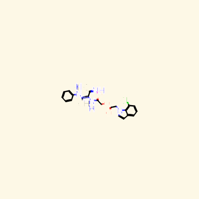 CC(=N)/C(NC(=O)COC(=O)Cn1ccc2cccc(Cl)c21)=C(/C)Nc1ccccc1